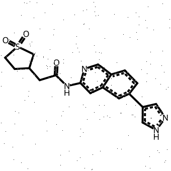 O=C(CC1CCS(=O)(=O)C1)Nc1cc2cc(-c3cn[nH]c3)ccc2cn1